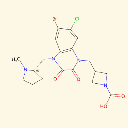 CN1CCC[C@H]1Cn1c(=O)c(=O)n(CC2CN(C(=O)O)C2)c2cc(Cl)c(Br)cc21